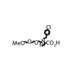 COCCOCCOCc1ncc(C(=O)O)n1CCc1ccc(Cl)cc1